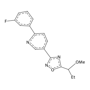 CCC(OC)c1nc(-c2ccc(-c3cccc(F)c3)nc2)no1